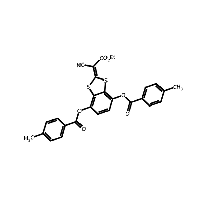 CCOC(=O)C(C#N)=C1Sc2c(OC(=O)c3ccc(C)cc3)ccc(OC(=O)c3ccc(C)cc3)c2S1